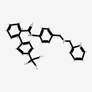 O=C(Nc1ccc(COCc2ccccn2)cc1)c1ccccc1-c1ccc(C(F)(F)F)cc1